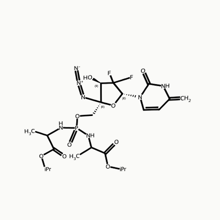 C=C1C=CN([C@@H]2O[C@@](COP(=O)(NC(C)C(=O)OC(C)C)NC(C)C(=O)OC(C)C)(N=[N+]=[N-])[C@@H](O)C2(F)F)C(=O)N1